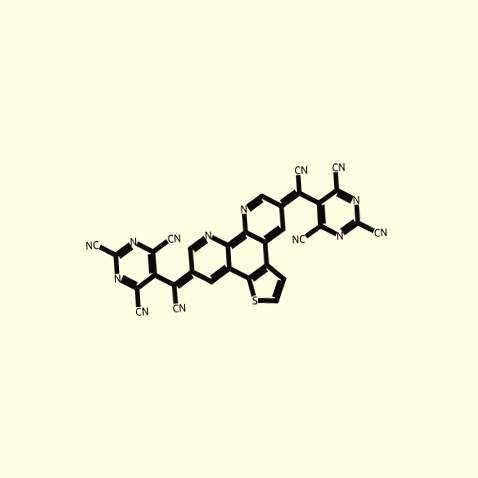 N#C/C(c1c(C#N)nc(C#N)nc1C#N)=c1\cnc2c(c1)c1ccsc1c1c/c(=C(\C#N)c3c(C#N)nc(C#N)nc3C#N)cnc12